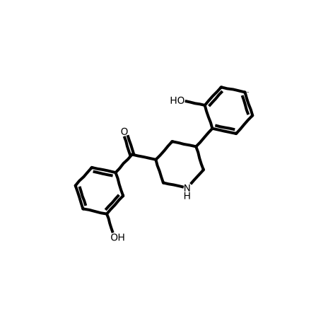 O=C(c1cccc(O)c1)C1CNCC(c2cc[c]cc2O)C1